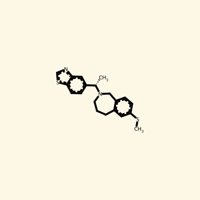 CSc1ccc2c(c1)CCCN([C@@H](C)c1ccc3scnc3c1)C2